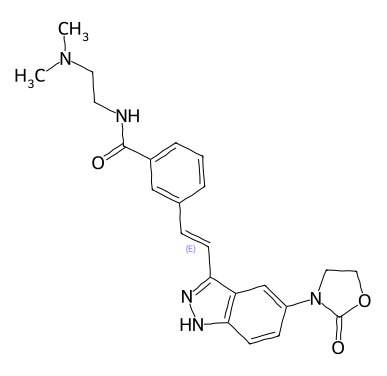 CN(C)CCNC(=O)c1cccc(/C=C/c2n[nH]c3ccc(N4CCOC4=O)cc23)c1